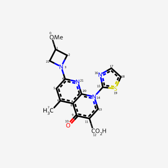 COC1CN(c2cc(C)c3c(=O)c(C(=O)O)cn(-c4nccs4)c3n2)C1